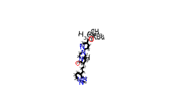 CC(C)(C)[Si](C)(C)OCc1ccc(N2CCN3C(=O)[C@@H](CCCc4cccn5ncnc45)C[C@H]3C2)nc1